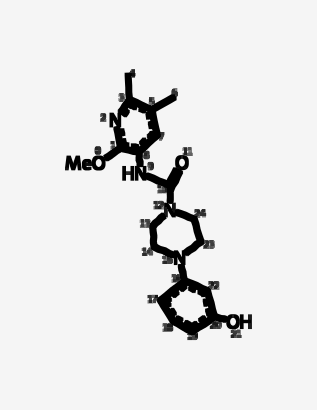 COc1nc(C)c(C)cc1NC(=O)N1CCN(c2cccc(O)c2)CC1